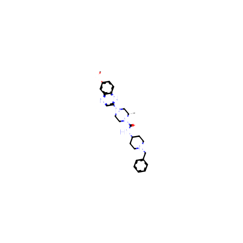 COc1ccc2nc(N3CCN(C(=O)NC4CCN(Cc5ccccc5)CC4)[C@H](C)C3)cnc2c1